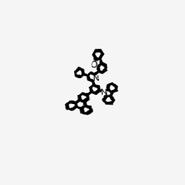 c1ccc(-c2cc(-c3cc(-c4ccc5c6ccccc6c6ccccc6c5c4)cc(-n4c5ccccc5c5ccccc54)c3)nc(-c3cccc4c3oc3ccccc34)c2)cc1